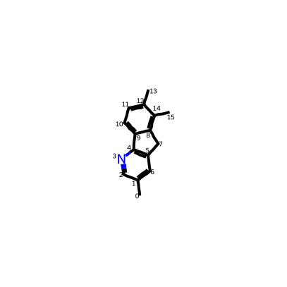 Cc1cnc2c(c1)Cc1c-2ccc(C)c1C